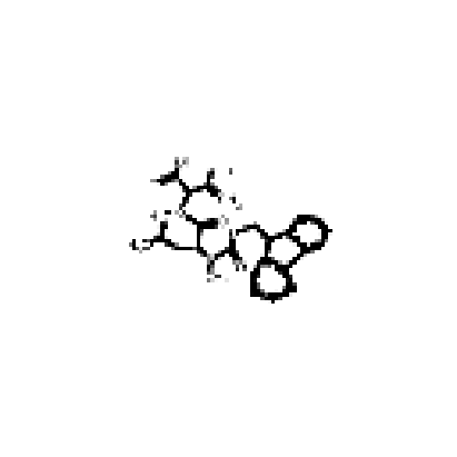 C=C(C)C(OC(=O)[C@H](CC(C)C)N(C)C(=O)OCC1c2ccccc2-c2ccccc21)C(=O)O